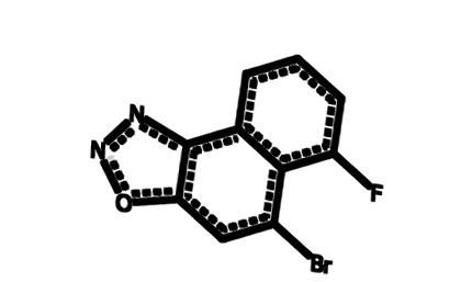 Fc1cccc2c1c(Br)cc1onnc12